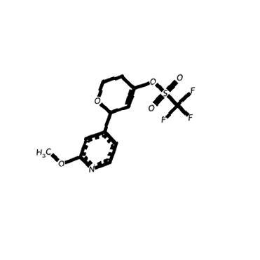 COc1cc(C2C=C(OS(=O)(=O)C(F)(F)F)CCO2)ccn1